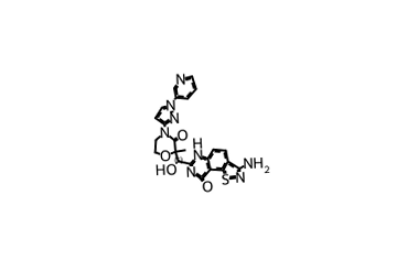 CC1([C@@H](O)c2nc(=O)c3c(ccc4c(N)nsc43)[nH]2)OCCN(c2ccn(-c3cccnc3)n2)C1=O